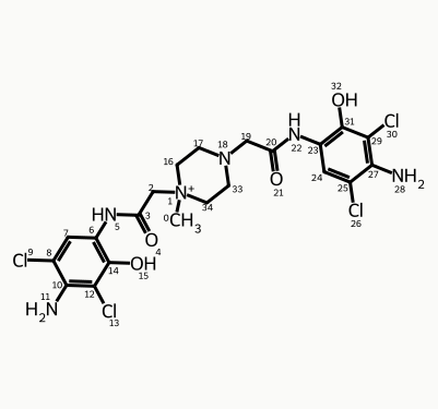 C[N+]1(CC(=O)Nc2cc(Cl)c(N)c(Cl)c2O)CCN(CC(=O)Nc2cc(Cl)c(N)c(Cl)c2O)CC1